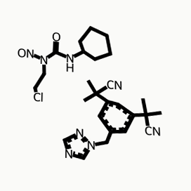 CC(C)(C#N)c1cc(Cn2cncn2)cc(C(C)(C)C#N)c1.O=NN(CCCl)C(=O)NC1CCCCC1